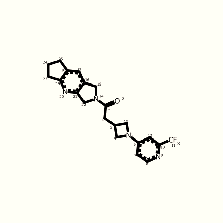 O=C(CC1CN(c2ccnc(C(F)(F)F)c2)C1)N1Cc2cc3c(nc2C1)CCC3